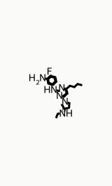 CCCCc1cc(N2CC[C@H](NCC)C2)nc(Nc2ccc(F)c(N)c2)n1